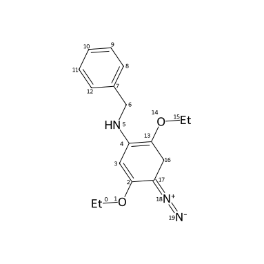 CCOC1=CC(NCc2ccccc2)=C(OCC)CC1=[N+]=[N-]